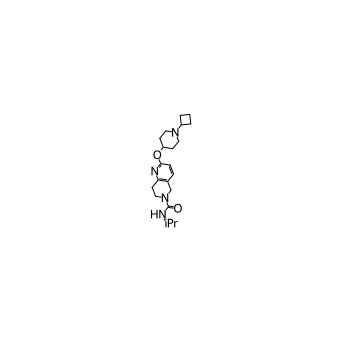 CC(C)NC(=O)N1CCc2nc(OC3CCN(C4CCC4)CC3)ccc2C1